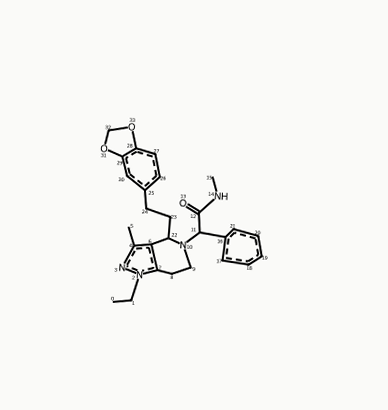 CCn1nc(C)c2c1CCN(C(C(=O)NC)c1ccccc1)C2CCc1ccc2c(c1)OCO2